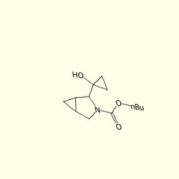 CCCCOC(=O)N1CC2CC2C1C1(O)CC1